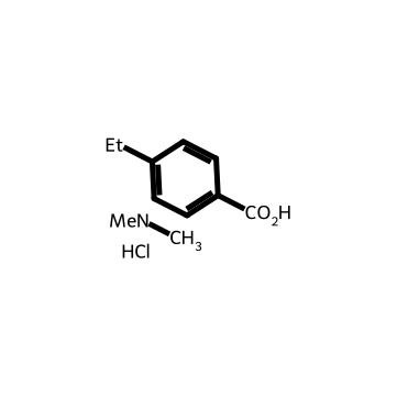 CCc1ccc(C(=O)O)cc1.CNC.Cl